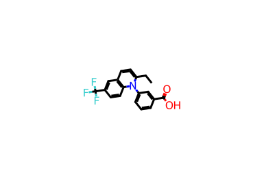 CCC1=C=Cc2cc(C(F)(F)F)ccc2N1c1cccc(C(=O)O)c1